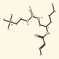 CC=CC(=O)OC(CCCC)CO[PH](=O)OCC[N+](C)(C)C